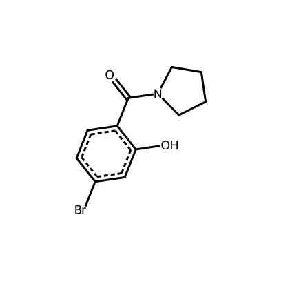 O=C(c1ccc(Br)cc1O)N1CCCC1